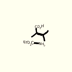 CC(C)=C(C)C(=O)O.CCOC(N)=O